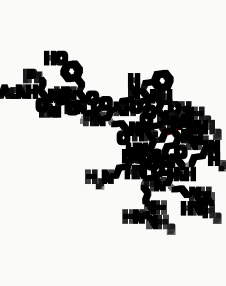 CC[C@H](C)[C@H](NC(=O)[C@H](CC(C)C)NC(C)=O)C(=O)N[C@@H](Cc1ccc(O)cc1)C(=O)N[C@@H](C)C(=O)N[C@@H](CCC(N)=O)C(=O)NCC(=O)N[C@@H](Cc1ccccc1)C(=O)N[C@@H](CO)C(=O)N[C@@H](CCCCN)C(=O)N[C@@H](CCCNC(=N)N)C(=O)N[C@@H](CCCCN)C(=O)N[C@@H](CCCNC(=N)N)C(=O)N[C@@H](CCCNC(=N)N)C(=O)N[C@@H](CCCCN)C(=O)N[C@@H](CCCNC(=N)N)C(=O)O